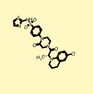 C[C@H](C(=O)N1CCN(c2ccc(S(=O)(=O)Nc3nccs3)cc2)C(=O)C1)N1CCCc2cc(Cl)ccc21